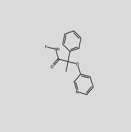 CC(Oc1cccnc1)(C(=O)NF)c1ccccc1